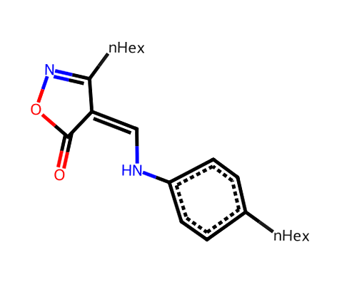 CCCCCCC1=NOC(=O)/C1=C\Nc1ccc(CCCCCC)cc1